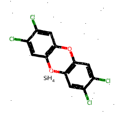 Clc1cc2c(cc1Cl)Oc1cc(Cl)c(Cl)cc1O2.[SiH4]